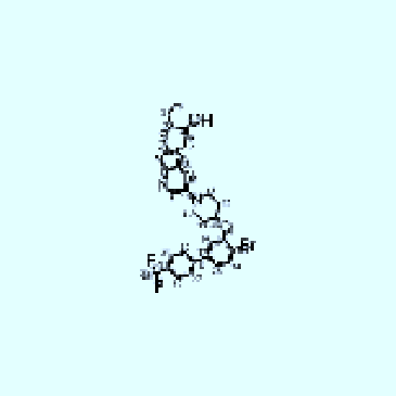 CCC(Sc1nc2ncc(N3CCC(Oc4cc(-c5ccc(C(F)(F)F)cc5)ccc4Br)CC3)nc2s1)C(=O)O